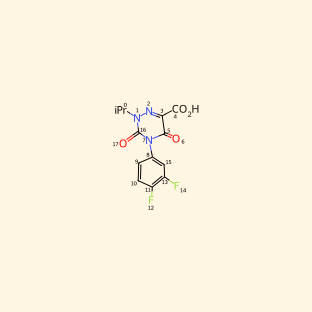 CC(C)n1nc(C(=O)O)c(=O)n(-c2ccc(F)c(F)c2)c1=O